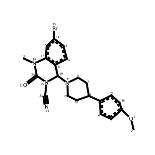 COc1ccc(C2CCN(C3c4ccc(Br)cc4N(C)C(=O)N3C#N)CC2)cc1